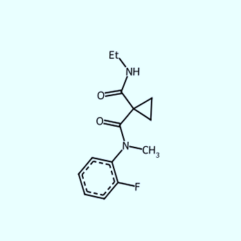 CCNC(=O)C1(C(=O)N(C)c2ccccc2F)CC1